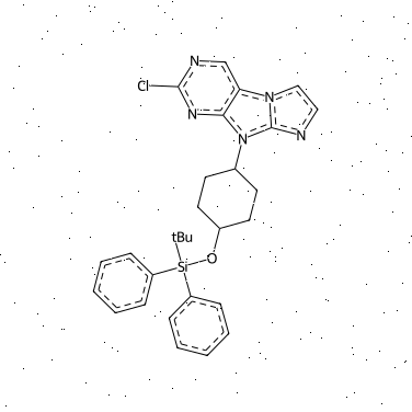 CC(C)(C)[Si](OC1CCC(n2c3nc(Cl)ncc3n3ccnc23)CC1)(c1ccccc1)c1ccccc1